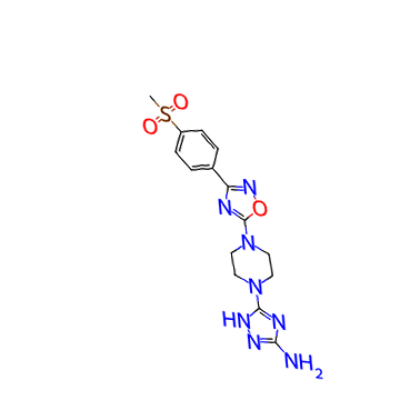 CS(=O)(=O)c1ccc(-c2noc(N3CCN(c4nc(N)n[nH]4)CC3)n2)cc1